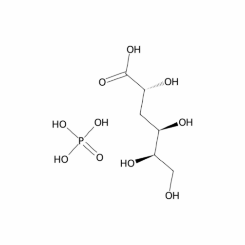 O=C(O)[C@H](O)C[C@@H](O)[C@H](O)CO.O=P(O)(O)O